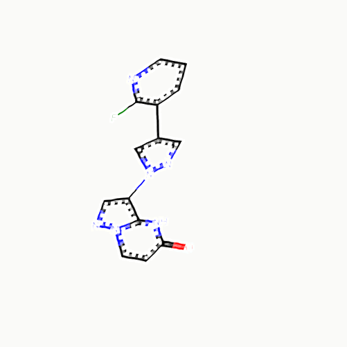 O=c1ccn2ncc(-n3cc(-c4cccnc4F)cn3)c2[nH]1